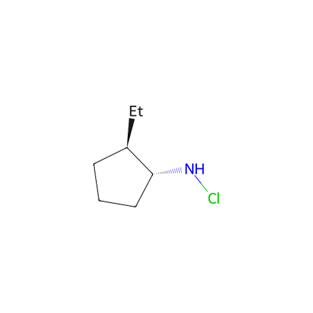 CC[C@@H]1CCC[C@H]1NCl